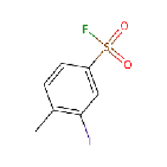 Cc1ccc(S(=O)(=O)F)cc1I